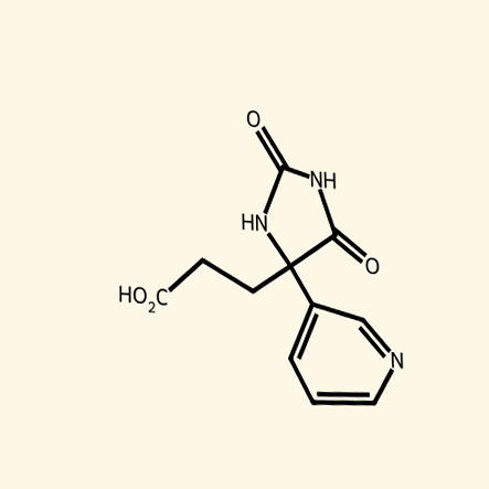 O=C(O)CCC1(c2cccnc2)NC(=O)NC1=O